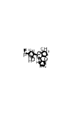 Cc1ccc2c(c1)C(NC(=O)c1ccc(C(F)F)[nH]c1=O)c1ccccc1O2